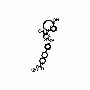 CC(C)(C)OC(=O)N1CCC2(CCC(c3ccc(Nc4ncc5c(=O)n6n(c5n4)-c4cccc(n4)[C@](C)(O)CC/C=C\C6)cc3)CC2)CC1